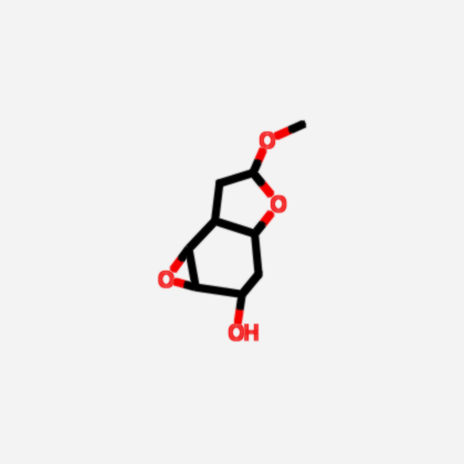 COC1CC2C(CC(O)C3OC23)O1